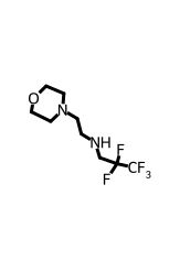 FC(F)(F)C(F)(F)CNCCN1CCOCC1